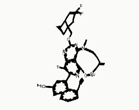 C#Cc1cccc2cc(O)cc(-c3nc4c5c(nc(OCC67CCC6CC(F)(F)C7)nc5c3F)N(C)CC(C)NO4)c12